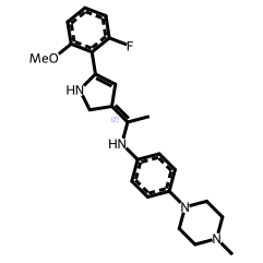 COc1cccc(F)c1C1=C/C(=C(\C)Nc2ccc(N3CCN(C)CC3)cc2)CN1